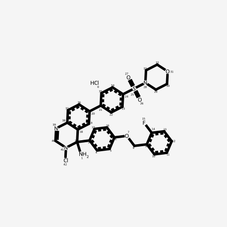 Cl.NC1(c2ccc(OCc3ccccc3F)cc2)c2cc(-c3ccc(S(=O)(=O)N4CCOCC4)cc3)ccc2N=CN1Cl